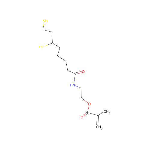 C=C(C)C(=O)OCCNC(=O)CCCCC(S)CCS